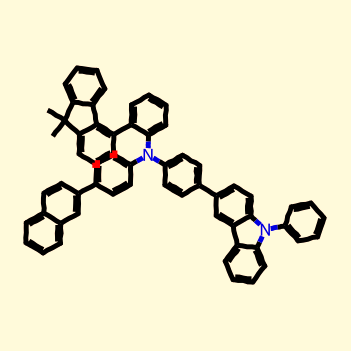 CC1(C)c2ccccc2-c2c(-c3ccccc3N(c3ccc(-c4ccc5ccccc5c4)cc3)c3ccc(-c4ccc5c(c4)c4ccccc4n5-c4ccccc4)cc3)cccc21